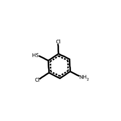 Nc1cc(Cl)c(S)c(Cl)c1